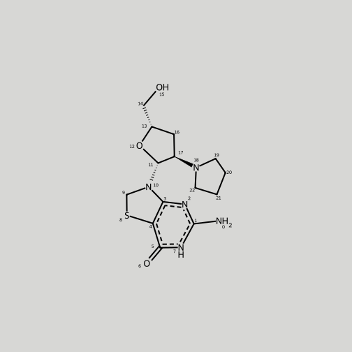 Nc1nc2c(c(=O)[nH]1)SCN2[C@@H]1O[C@H](CO)C[C@H]1N1CCCC1